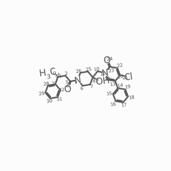 C[C@H](CC(=O)N1CCC(O)(Cn2cc(-c3ccccc3)c(Cl)cc2=O)CC1)c1ccccc1